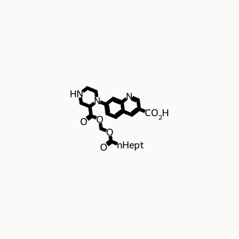 CCCCCCCC(=O)OCOC(=O)C1CNCCN1c1ccc2cc(C(=O)O)cnc2c1